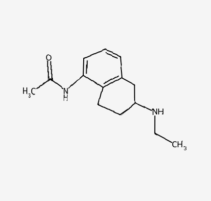 CCNC1CCc2c(cccc2NC(C)=O)C1